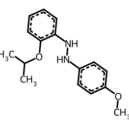 COc1ccc(NNc2ccccc2OC(C)C)cc1